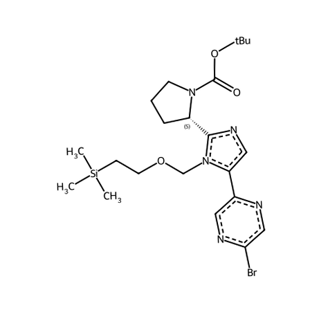 CC(C)(C)OC(=O)N1CCC[C@H]1c1ncc(-c2cnc(Br)cn2)n1COCC[Si](C)(C)C